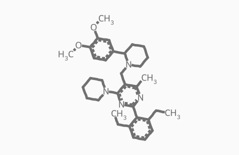 CCc1cccc(CC)c1-c1nc(C)c(CN2CCCCC2c2ccc(OC)c(OC)c2)c(N2CCCCC2)n1